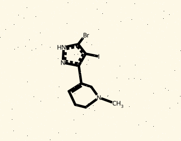 CN1CCC=C(c2n[nH]c(Br)c2I)C1